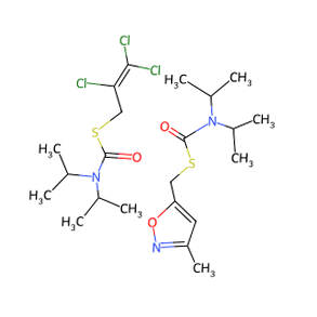 CC(C)N(C(=O)SCC(Cl)=C(Cl)Cl)C(C)C.Cc1cc(CSC(=O)N(C(C)C)C(C)C)on1